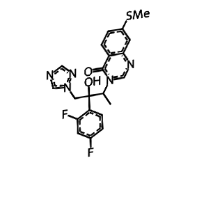 CSc1ccc2c(=O)n(C(C)C(O)(Cn3cncn3)c3ccc(F)cc3F)cnc2c1